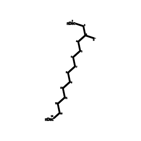 [CH2]C(CCCCCCCCCCC)CCCCCCCCCCCCCCCCCCCC